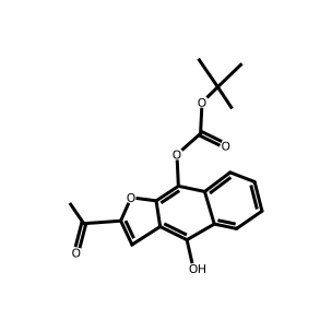 CC(=O)c1cc2c(O)c3ccccc3c(OC(=O)OC(C)(C)C)c2o1